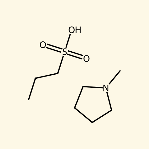 CCCS(=O)(=O)O.CN1CCCC1